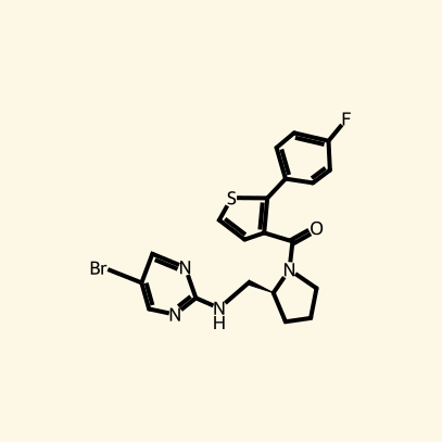 O=C(c1ccsc1-c1ccc(F)cc1)N1CCC[C@H]1CNc1ncc(Br)cn1